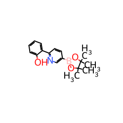 CC1(C)OB(c2ccc(-c3ccccc3O)nc2)OC1(C)C